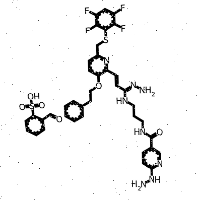 NN=C(/C=C/c1nc(CSc2c(F)c(F)cc(F)c2F)ccc1OCCc1ccccc1)NCCCNC(=O)c1ccc(NN)nc1.O=Cc1ccccc1S(=O)(=O)O